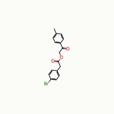 Cc1ccc(C(=O)COC(=O)Cc2ccc(Br)cc2)cc1